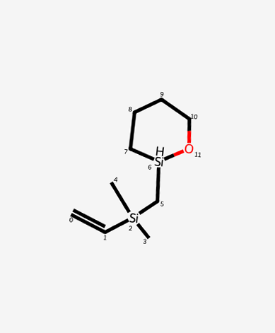 C=C[Si](C)(C)C[SiH]1CCCCO1